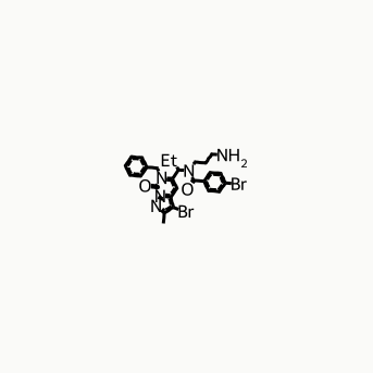 CCC(c1cc2c(Br)c(C)nn2c(=O)n1Cc1ccccc1)N(CCCN)C(=O)c1ccc(Br)cc1